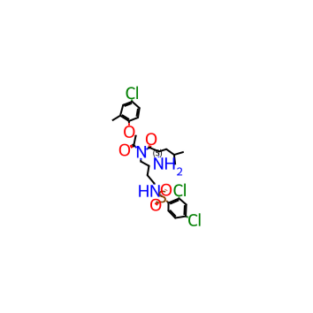 Cc1cc(Cl)ccc1OCC(=O)N(CCCCNS(=O)(=O)c1ccc(Cl)cc1Cl)C(=O)[C@@H](N)CC(C)C